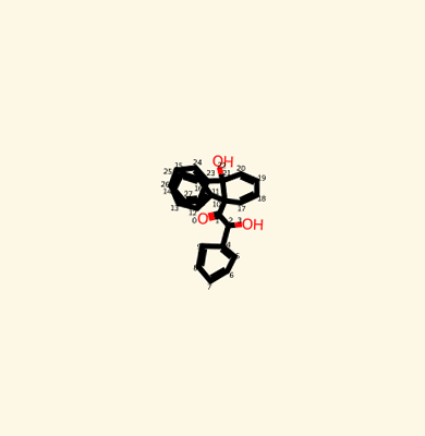 O=C(C(O)c1ccccc1)C1(c2ccccc2)C=CC=CC1(O)c1ccccc1